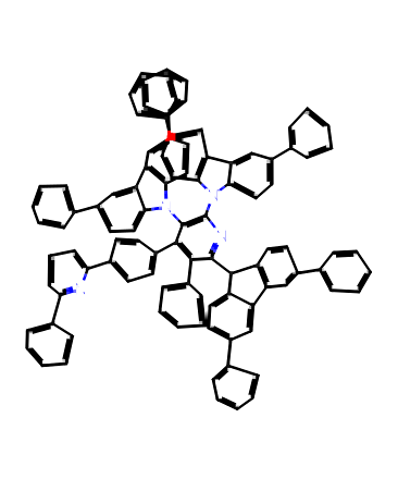 c1ccc(-c2ccc3c(c2)-c2cc(-c4ccccc4)ccc2C3c2nc(-n3c4ccc(-c5ccccc5)cc4c4cc(-c5ccccc5)ccc43)c(-n3c4ccc(-c5ccccc5)cc4c4cc(-c5ccccc5)ccc43)c(-c3ccc(-c4cccc(-c5ccccc5)n4)cc3)c2-c2ccccc2)cc1